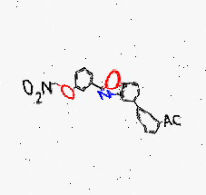 CC(=O)c1cccc(-c2ccc3oc(-c4cccc(OC[N+](=O)[O-])c4)nc3c2)c1